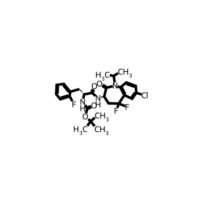 CC(C)N1C(=O)[C@@H](NC(=O)[C@@H](Cc2ccccc2F)NC(=O)OC(C)(C)C)CC(F)(F)c2cc(Cl)ccc21